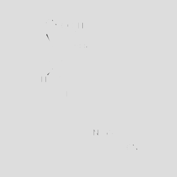 CCCCCCCCC(C(=O)O)[C@@]1(CC#N)CC[C@H]2[C@@H]3CCC4=C/C(=N/OC(C)C#N)CCC4=C3CC[C@@]21C